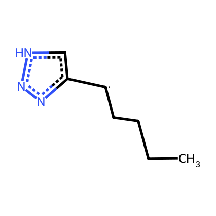 CCCC[CH]c1c[nH]nn1